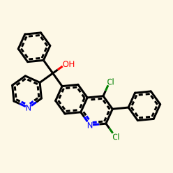 OC(c1ccccc1)(c1cccnc1)c1ccc2nc(Cl)c(-c3ccccc3)c(Cl)c2c1